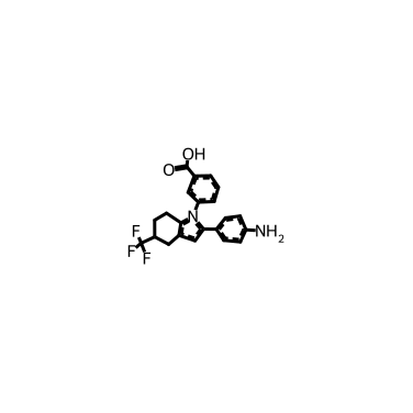 Nc1ccc(-c2cc3c(n2-c2cccc(C(=O)O)c2)CCC(C(F)(F)F)C3)cc1